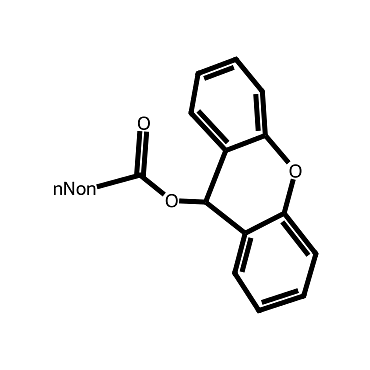 CCCCCCCCCC(=O)OC1c2ccccc2Oc2ccccc21